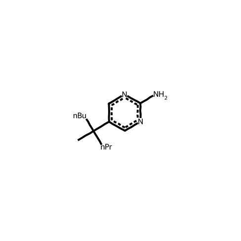 CCCCC(C)(CCC)c1cnc(N)nc1